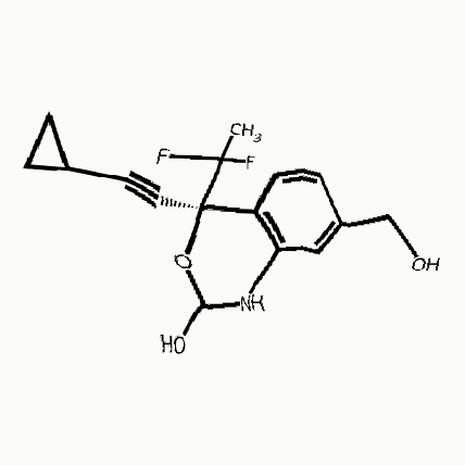 CC(F)(F)[C@]1(C#CC2CC2)OC(O)Nc2cc(CO)ccc21